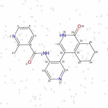 Cc1ncccc1C(=O)Nc1ccncc1-c1c[nH]c(=O)c2c1CCCC2